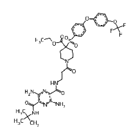 CCOC(=O)C1(S(=O)(=O)c2ccc(Oc3ccc(OC(F)(F)F)cc3)cc2)CCN(C(=O)CCNC(=O)c2nc(N)c(C(=O)NC(C)(C)C)nc2N)CC1